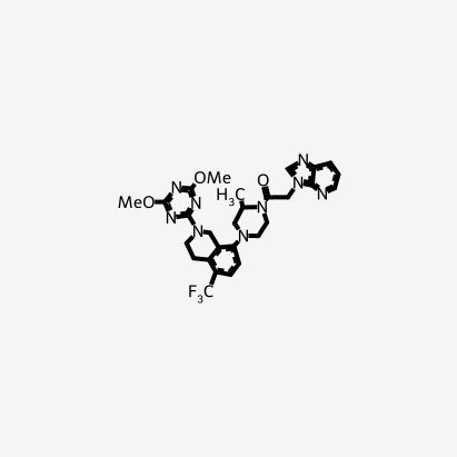 COc1nc(OC)nc(N2CCc3c(C(F)(F)F)ccc(N4CCN(C(=O)Cn5cnc6cccnc65)C(C)C4)c3C2)n1